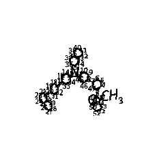 Cc1c(-c2cccc(-c3ccc(N(c4ccc(-c5ccc(-c6cccc7ccccc67)cc5)cc4)c4ccc5ccccc5c4)cc3)c2)oc2ccccc12